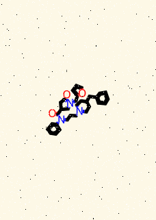 O=C1CC(C(=O)N(CCCN2CCC(Cc3ccccc3)CC2)c2ccccc2)CN1Cc1ccco1